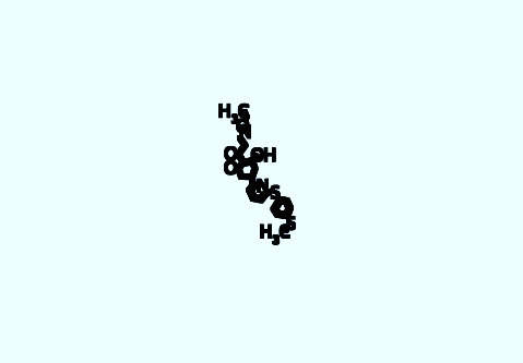 CCON=CCC(=O)C1=C(O)CC(c2cccc(Sc3ccc(SC)cc3)n2)CC1=O